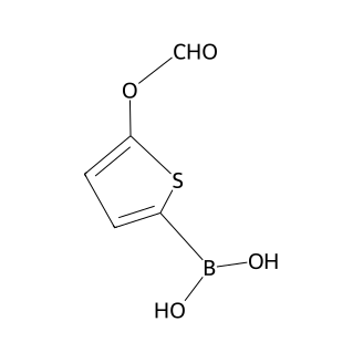 O=COc1ccc(B(O)O)s1